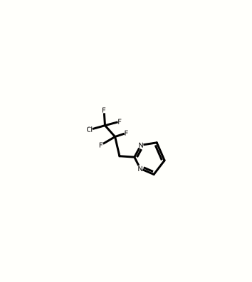 FC(F)(Cl)C(F)(F)Cc1ncccn1